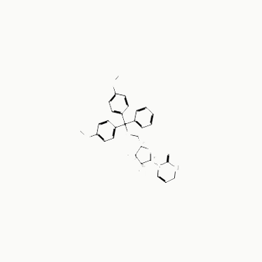 COc1ccc(C(OC[C@H]2O[C@@H](N3C=CCNC3=O)[C@H](O)[C@@H]2O)(c2ccccc2)c2ccc(OC)cc2)cc1